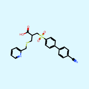 N#Cc1ccc(-c2ccc(S(=O)(=O)CC(CSCc3ccccn3)C(=O)O)cc2)cc1